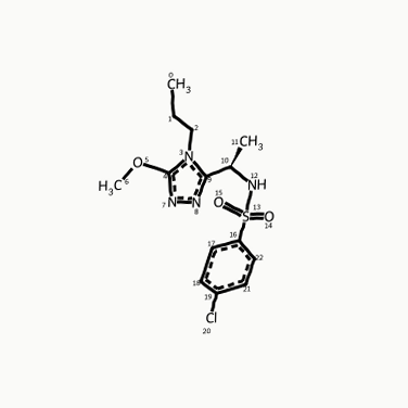 CCCn1c(OC)nnc1[C@@H](C)NS(=O)(=O)c1ccc(Cl)cc1